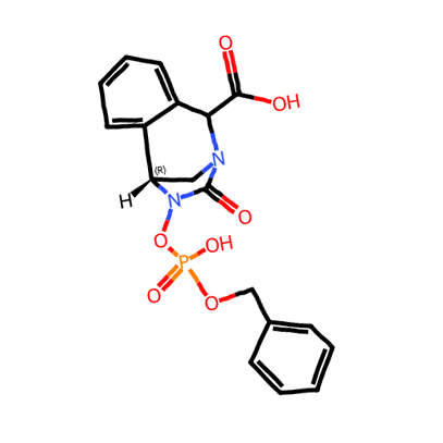 O=C(O)C1c2ccccc2[C@@H]2CN1C(=O)N2OP(=O)(O)OCc1ccccc1